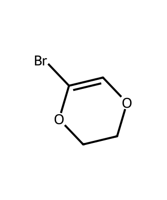 BrC1=COCCO1